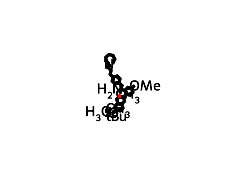 COc1ccc(C2CCc3cc(O[Si](C)(C)C(C)(C)C)ccc3C2)c(C(C)(N)Cc2ccc(CCCN3CCCCCC3)cc2)c1